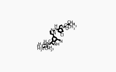 CC(C)(C)OC(=O)N1CCc2c(Nc3nccc(-c4cc(C#N)c5c(c4)C(C)(CO[Si](C)(C)C(C)(C)C)CN5)n3)cc(Cl)cc21